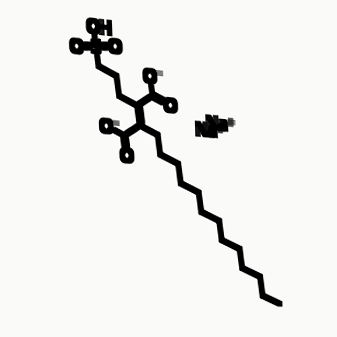 CCCCCCCCCCCCCC(C(=O)[O-])=C(CCCS(=O)(=O)O)C(=O)[O-].[Na+].[Na+]